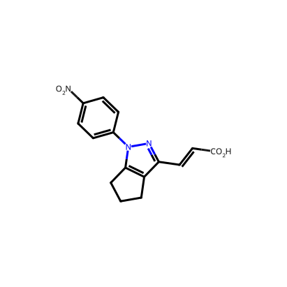 O=C(O)/C=C/c1nn(-c2ccc([N+](=O)[O-])cc2)c2c1CCC2